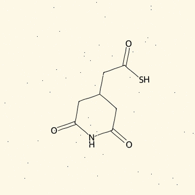 O=C(S)CC1CC(=O)NC(=O)C1